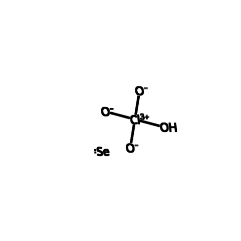 [O-][Cl+3]([O-])([O-])O.[Se]